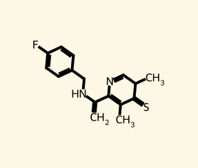 C=C(NCc1ccc(F)cc1)C1=C(C)C(=S)C(C)C=N1